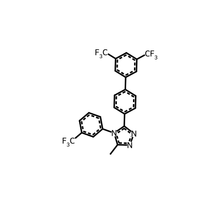 Cc1nnc(-c2ccc(-c3cc(C(F)(F)F)cc(C(F)(F)F)c3)cc2)n1-c1cccc(C(F)(F)F)c1